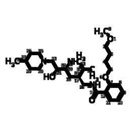 COCCCCOc1ccccc1C(=O)NC[C@@H](C[C@H](N)[C@@H](O)CN1CCC(C)CC1)C(C)C